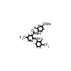 COc1ccc(NC(=O)c2cc(C(F)(F)F)cnc2Nc2cccc(C(F)(F)F)c2C)c(C)n1